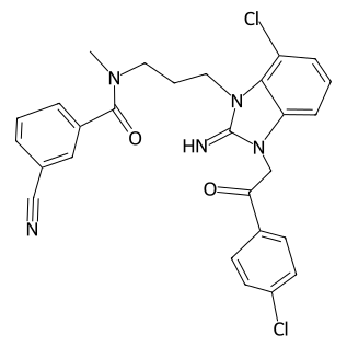 CN(CCCn1c(=N)n(CC(=O)c2ccc(Cl)cc2)c2cccc(Cl)c21)C(=O)c1cccc(C#N)c1